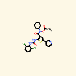 CC(=O)ON(C(=O)c1cc(-c2cccnc2)sc1NC(=O)Nc1c(Cl)cccc1Cl)C1CCCCC1